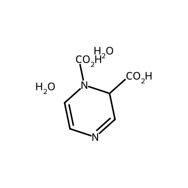 O.O.O=C(O)C1C=NC=CN1C(=O)O